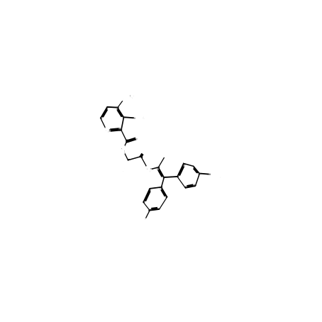 COc1ccnc(C(=O)N[C@@H](C)C(=O)NC(C)=C(c2ccc(C(F)(F)F)cc2)c2ccc(C(F)(F)F)cc2)c1OC(C)=O